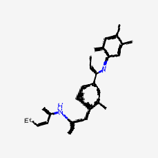 C=C(/C=C\CC)NC(=C)Cc1ccc(C(=C/C)/N=C2/C=C(C)C(C)=CC2=C)cc1C